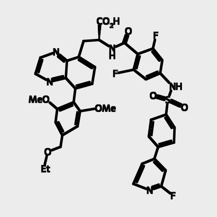 CCOCc1cc(OC)c(-c2ccc(C[C@H](NC(=O)c3c(F)cc(NS(=O)(=O)c4ccc(-c5ccnc(F)c5)cc4)cc3F)C(=O)O)c3nccnc23)c(OC)c1